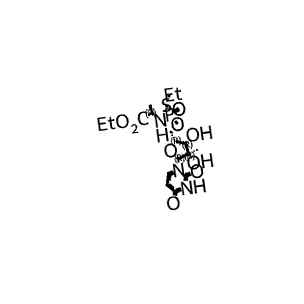 CCOC(=O)[C@@H](C)NP(=O)(OC[C@H]1O[C@@H](n2ccc(=O)[nH]c2=O)[C@](C)(O)[C@@H]1O)SCC